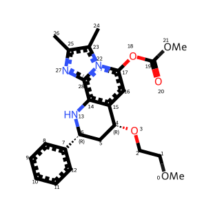 COCCO[C@@H]1C[C@H](c2ccccc2)Nc2c1cc(OC(=O)OC)n1c(C)c(C)nc21